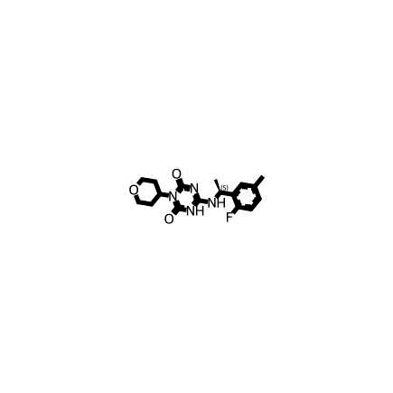 Cc1ccc(F)c([C@H](C)Nc2nc(=O)n(C3CCOCC3)c(=O)[nH]2)c1